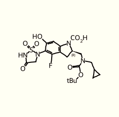 CC(C)(C)OC(=O)N(CC1CC1)C[C@H]1Cc2c(cc(O)c(N3CC(=O)NS3(=O)=O)c2F)N1C(=O)O